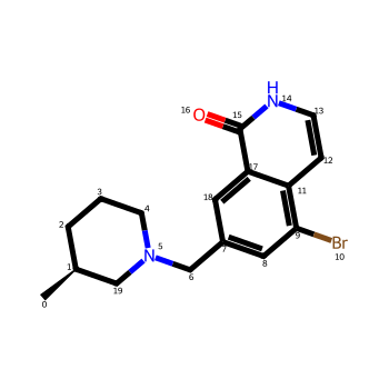 C[C@H]1CCCN(Cc2cc(Br)c3cc[nH]c(=O)c3c2)C1